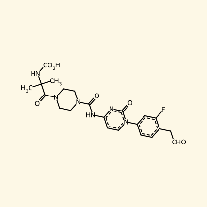 CC(C)(NC(=O)O)C(=O)N1CCN(C(=O)Nc2ccn(-c3ccc(CC=O)c(F)c3)c(=O)n2)CC1